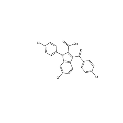 O=C(c1ccc(Cl)cc1)c1c(C(=O)O)n(-c2ccc(Cl)cc2)c2cc(Cl)ccc12